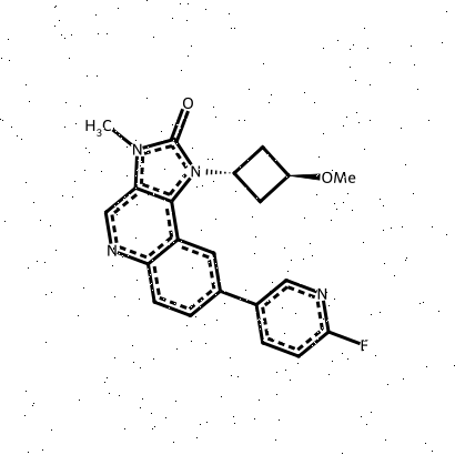 CO[C@H]1C[C@H](n2c(=O)n(C)c3cnc4ccc(-c5ccc(F)nc5)cc4c32)C1